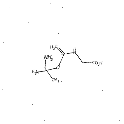 C=C(NCC(=O)O)OC(C)(N)N